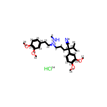 CNN(CCCC(C#N)(c1ccc(OC)c(OC)c1)C(C)C)CCc1ccc(OC)c(OC)c1.Cl